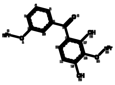 CCCOc1cccc(C(=O)c2ccc(O)c(OCCC)c2O)c1